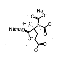 C[C@](CCC(=O)[O-])(C(=O)[O-])N(C(=O)[O-])C(=O)[O-].[Na+].[Na+].[Na+].[Na+]